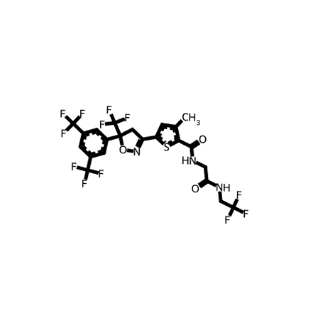 Cc1cc(C2=NOC(c3cc(C(F)(F)F)cc(C(F)(F)F)c3)(C(F)(F)F)C2)sc1C(=O)NCC(=O)NCC(F)(F)F